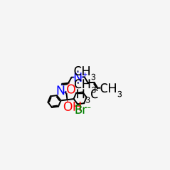 CC(C)=CCC[N+](C)(C)Cc1cnc([C@](O)(c2ccccc2)C2CCCCC2)o1.[Br-]